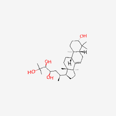 C[C@@H](C[C@@H](O)[C@H](O)C(C)(C)O)[C@@H]1CC[C@]2(C)C3=CC[C@H]4C(C)(C)[C@@H](O)CC[C@]4(C)[C@H]3CC[C@@]12C